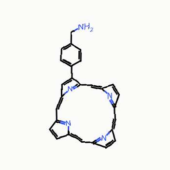 NCc1ccc(C2=CC3=CC4=NC(=CC5=NC(=CC6=NC(=CC2=N3)C=C6)C=C5)C=C4)cc1